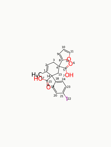 CC1=CCC(C(=O)O)(c2ccco2)CC1(C(=O)O)c1ccc(I)cc1